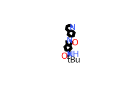 CC(C)(C)C(=O)Nc1ccc2c(c1)C(=O)N(c1ccc3ncccc3c1)C2